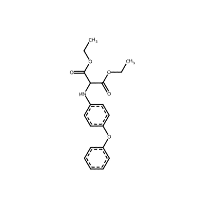 CCOC(=O)C(Nc1ccc(Oc2ccccc2)cc1)C(=O)OCC